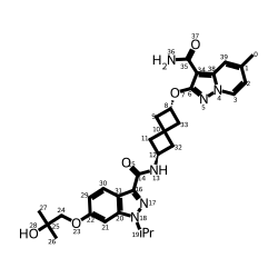 Cc1ccn2nc(O[C@H]3CC4(C[C@H](NC(=O)c5nn(C(C)C)c6cc(OCC(C)(C)O)ccc56)C4)C3)c(C(N)=O)c2c1